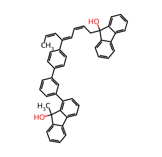 C\C=C/C(=C\C=C/CC1(O)c2ccccc2-c2ccccc21)c1ccc(-c2cccc(-c3cccc4c3C(C)(O)c3ccccc3-4)c2)cc1